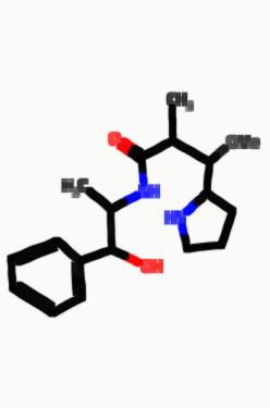 COC(C1CCCN1)C(C)C(=O)NC(C)C(O)c1ccccc1